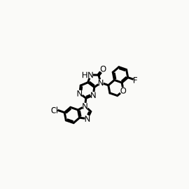 O=c1[nH]c2cnc(-n3cnc4ccc(Cl)cc43)nc2n1C1CCOc2c(F)cccc21